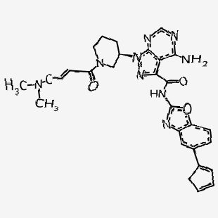 CN(C)C/C=C/C(=O)N1CCC[C@@H](n2nc(C(=O)Nc3nc4cc(C5=CC=CC5)ccc4o3)c3c(N)ncnc32)C1